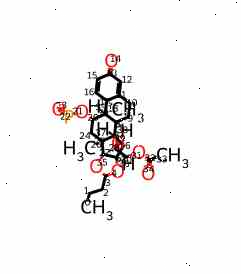 CCCC1O[C@@H]2C[C@H]3[C@@H]4CCC5=CC(=O)C=C[C@]5(C)[C@H]4[C@@H](OP=O)C[C@]3(C)[C@]2(C(=O)COC(C)=O)O1